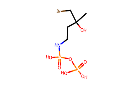 CC(O)(CBr)CCNP(=O)(O)OP(=O)(O)O